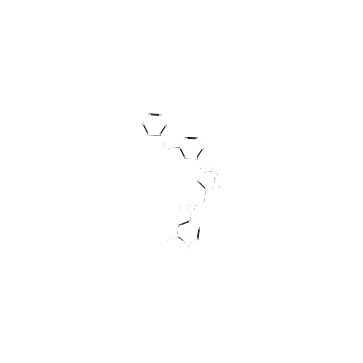 Cc1cc(NCc2cn(-c3cccc(Nc4ccccc4)c3)nn2)ccn1